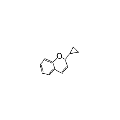 C1=CC(C2CC2)Oc2ccccc21